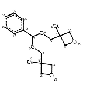 CCC1(COC(OCC2(CC)COC2)c2ccccc2)COC1